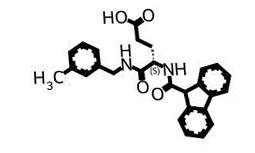 Cc1cccc(CNC(=O)[C@H](CCC(=O)O)NC(=O)C2c3ccccc3-c3ccccc32)c1